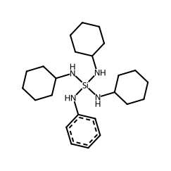 c1ccc(N[Si](NC2CCCCC2)(NC2CCCCC2)NC2CCCCC2)cc1